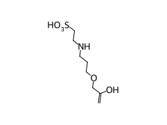 C=C(O)COCCCNCCS(=O)(=O)O